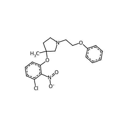 CC1(Oc2cccc(Cl)c2[N+](=O)[O-])CCN(CCOc2ccccc2)C1